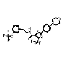 O=C(NCCc1cccc(OC(F)(F)F)c1)c1sc(-c2ccc(N3CCOCC3)cc2)nc1C(F)(F)F